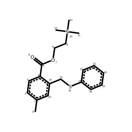 Cc1ccc(C(=O)OCC[Si](C)(C)C)c(CSc2ccccc2)c1